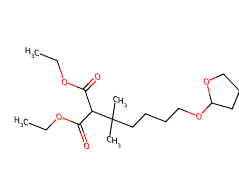 CCOC(=O)C(C(=O)OCC)C(C)(C)CCCCOC1CCCO1